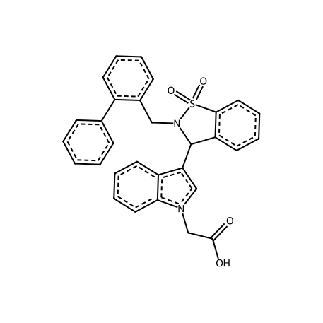 O=C(O)Cn1cc(C2c3ccccc3S(=O)(=O)N2Cc2ccccc2-c2ccccc2)c2ccccc21